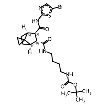 CC(C)(C)OC(=O)NCCCCNC(=O)[C@H]1[C@H](C(=O)Nc2ncc(Br)s2)[C@@H]2CC[C@H]1C21CC1